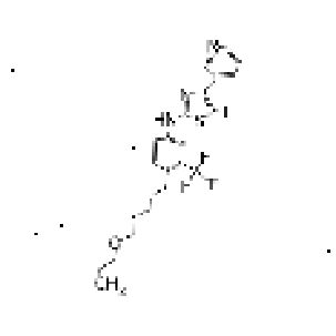 CCCOCCCCCc1ccc(Nc2nc(-c3cccnc3)c(F)s2)cc1C(F)(F)F